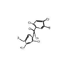 Fc1cc(C(Cl)(Cl)c2cc(F)c(Cl)cc2Cl)c(Cl)cc1Cl